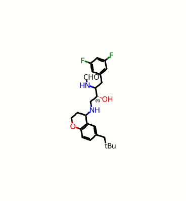 CC(C)(C)Cc1ccc2c(c1)C(NC[C@@H](O)C(Cc1cc(F)cc(F)c1)NC=O)CCO2